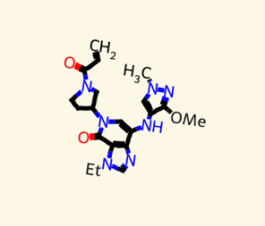 C=CC(=O)N1CCC(n2cc(Nc3cn(C)nc3OC)c3ncn(CC)c3c2=O)C1